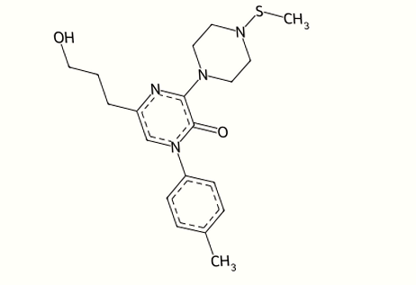 CSN1CCN(c2nc(CCCO)cn(-c3ccc(C)cc3)c2=O)CC1